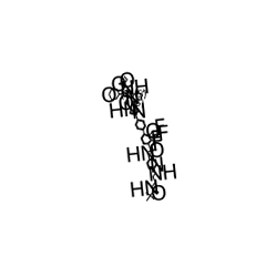 COC(=O)N[C@H](C(=O)N1C[C@@H](C)C[C@H]1c1nc(-c2ccc(-c3ccc(C(=O)Nc4ccc(NCCNC(=O)C(C)(C)C)nc4)c(F)c3OC(F)(F)F)cc2)c[nH]1)C1CCOCC1